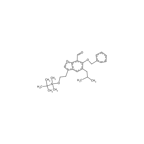 CC(C)Cc1cc2c(CCO[Si](C)(C)C(C)(C)C)coc2c(C=O)c1OCc1ccccc1